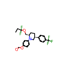 CCC(F)(F)OC[C@H]1CC[C@@H](c2ccc(C(F)(F)F)cc2)CN1c1ccc(OC=O)cc1